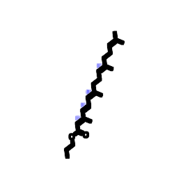 CCCOC(=O)/C=C(C)/C=C/C=C(\C)CC/C=C(\C)CCC=C(C)C